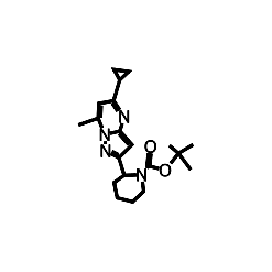 Cc1cc(C2CC2)nc2cc(C3CCCCN3C(=O)OC(C)(C)C)nn12